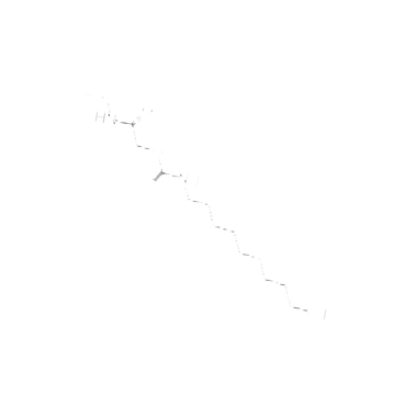 CCCCCCCCCCNC(=O)OCC(=O)NC